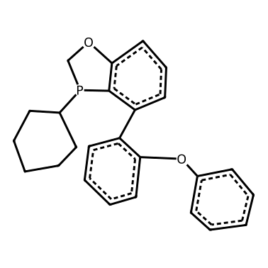 c1ccc(Oc2ccccc2-c2cccc3c2P(C2CCCCC2)CO3)cc1